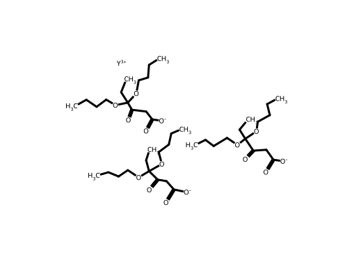 CCCCOC(CC)(OCCCC)C(=O)CC(=O)[O-].CCCCOC(CC)(OCCCC)C(=O)CC(=O)[O-].CCCCOC(CC)(OCCCC)C(=O)CC(=O)[O-].[Y+3]